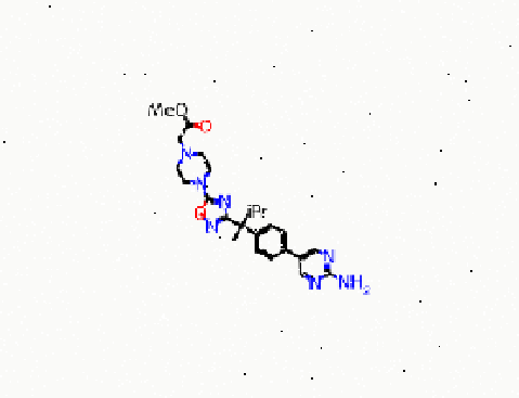 COC(=O)CN1CCN(c2nc(C(C)(c3ccc(-c4cnc(N)nc4)cc3)C(C)C)no2)CC1